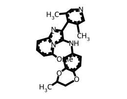 COc1cccc2nc(-c3c(C)cncc3C)c(Nc3ccc4c(c3)OC(C)CO4)n12